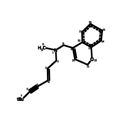 CN(C/C=C/C#CC(C)(C)C)CC1=CCOc2ccccc21